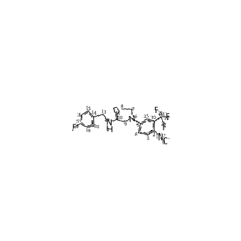 [C-]#[N+]c1ccc(N(CC)CC(=O)NCc2ccc(F)cc2)cc1C(F)(F)F